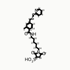 Cc1cc(CSSc2ccccn2)ccc1C(=O)NCCCCCCN1C(=O)CC(S(=O)(=O)O)C1=O